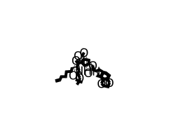 C=CCCCCC[C@H](NC(=O)OC(C)(C)C)C(=O)N1C[C@H](OC(=O)N2Cc3ccc4c(c3C2)OCCO4)C[C@H]1C(=O)OC